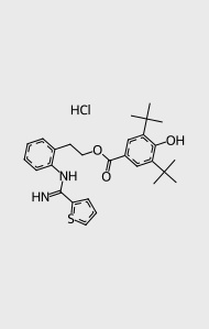 CC(C)(C)c1cc(C(=O)OCCc2ccccc2NC(=N)c2cccs2)cc(C(C)(C)C)c1O.Cl